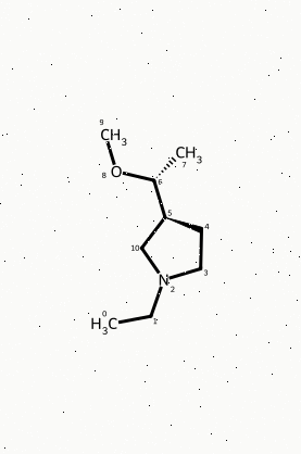 CCN1CC[C@H]([C@@H](C)OC)C1